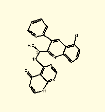 C[C@H](Nc1ncnc2[nH]ccc(=O)c12)c1nc2cccc(Cl)c2cc1-c1ccccn1